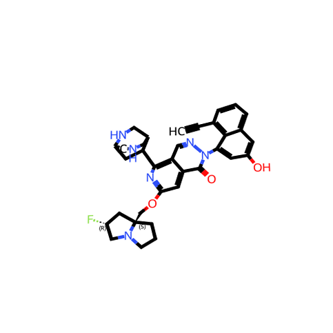 C#Cc1cccc2cc(O)cc(-n3ncc4c(C5CC6CNCC5CN6)nc(OC[C@@]56CCCN5C[C@H](F)C6)cc4c3=O)c12